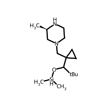 C[C@@H]1CN(CC2(C(O[SiH](C)C)C(C)(C)C)CC2)CCN1